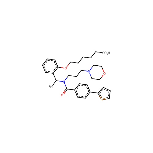 [2H]C(c1ccccc1OCCCCCC(=O)O)N(CCCN1CCOCC1)C(=O)c1ccc(-c2cccs2)cc1